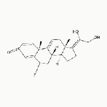 C[C@]12C=CC(=O)C=C1C(F)C[C@@H]1C2=CC[C@]2(C)C(=C(O)CO)CC[C@@H]12